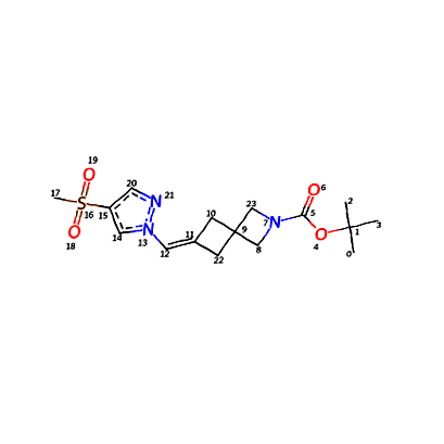 CC(C)(C)OC(=O)N1CC2(CC(=Cn3cc(S(C)(=O)=O)cn3)C2)C1